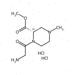 COC(=O)[C@@H]1CN(C)CCN1C(=O)CN.Cl.Cl